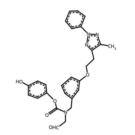 Cc1nn(-c2ccccc2)nc1CCOc1cccc(CN(CC=O)C(=O)Oc2ccc(O)cc2)c1